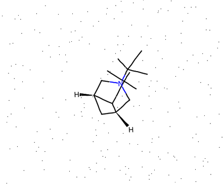 CC(C)(C)C1[C@@H]2C[C@H]1CN(C(C)(C)C)C2